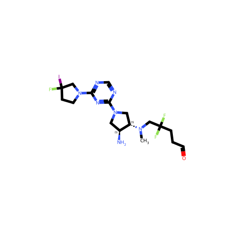 CN(CC(F)(F)CCC=O)[C@H]1CN(c2ncnc(N3CCC(F)(I)C3)n2)C[C@@H]1N